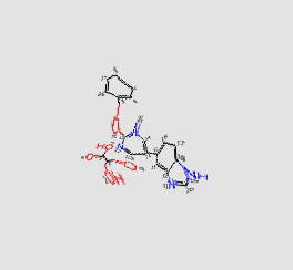 O=C(O)C(=O)O.c1ccc(Oc2ncc(-c3ccc4[nH]cnc4c3)cn2)cc1